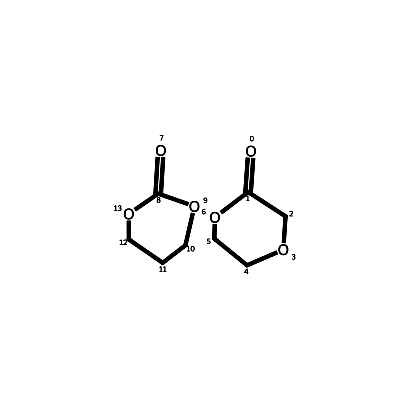 O=C1COCCO1.O=C1OCCCO1